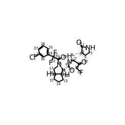 O=C1NCC[C@@H]1C[C@@H](NC(=O)[C@@H]1[C@H]2CCC[C@H]2CN1C(=O)C(F)(F)c1cccc(Cl)c1)C(=O)CF